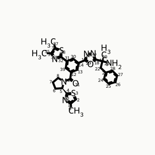 Cc1csc([C@H]2CCCN2C(=O)c2cc(-c3nnc([C@](C)(N)Cc4ccccc4)o3)cc(-c3nc(C)c(C)s3)c2)n1